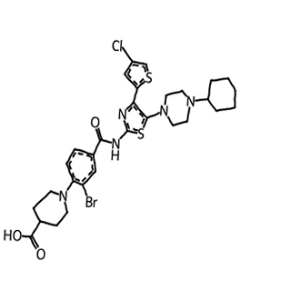 O=C(Nc1nc(-c2cc(Cl)cs2)c(N2CCN(C3CCCCC3)CC2)s1)c1ccc(N2CCC(C(=O)O)CC2)c(Br)c1